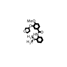 COc1ccc(C(=O)Nc2ccccc2N(C)C)cc1OC1CCOC1